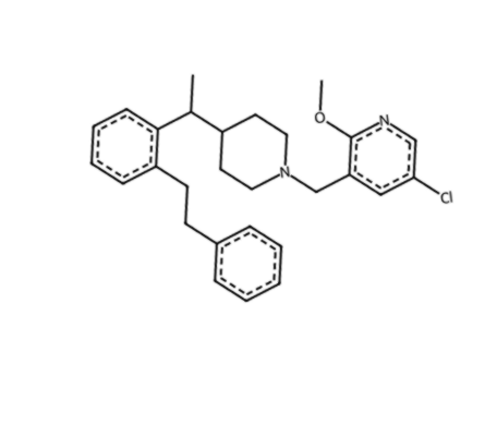 COc1ncc(Cl)cc1CN1CCC(C(C)c2ccccc2CCc2ccccc2)CC1